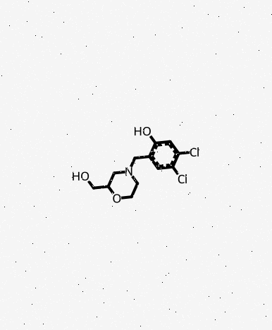 OCC1CN(Cc2cc(Cl)c(Cl)cc2O)CCO1